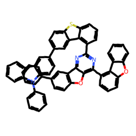 c1ccc(-c2ccc3oc4c(-c5cccc6oc7ccccc7c56)nc(-c5cccc6sc7ccc(-c8ccc9c(c8)c8ccccc8n9-c8ccccc8)cc7c56)nc4c3c2)cc1